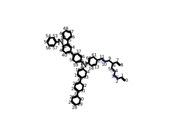 C=C/C=C\C=C\C(C=C)C/C=C/C1C=CC(N(C2=CC=C(C3=CC=C(C4=CC=CCC4)CC3)CC2)c2ccc(-c3ccc4c(c3)c3ccccc3n4-c3ccccc3)cc2)=CC1